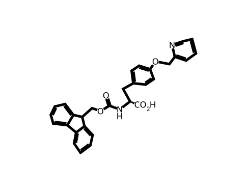 O=C(N[C@@H](Cc1ccc(OCc2ccccn2)cc1)C(=O)O)OCC1c2ccccc2-c2ccccc21